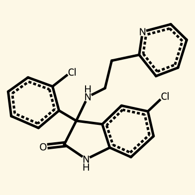 O=C1Nc2ccc(Cl)cc2C1(NCCc1ccccn1)c1ccccc1Cl